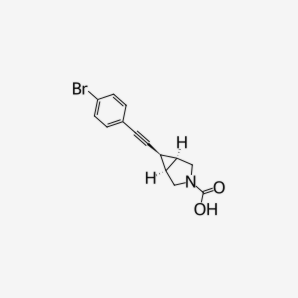 O=C(O)N1C[C@@H]2[C@H](C#Cc3ccc(Br)cc3)[C@@H]2C1